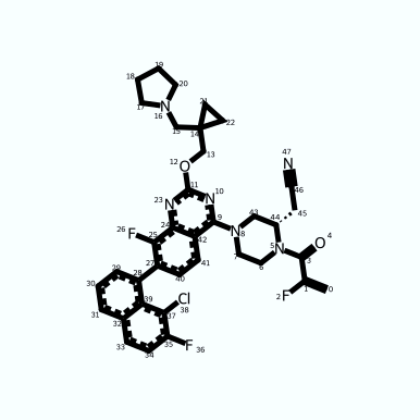 C=C(F)C(=O)N1CCN(c2nc(OCC3(CN4CCCC4)CC3)nc3c(F)c(-c4cccc5ccc(F)c(Cl)c45)ccc23)C[C@@H]1CC#N